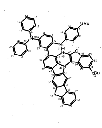 CC(C)(C)c1ccc(Nc2ccc(N(c3ccccc3)c3ccccc3)cc2-c2ccc3c4cc5sc6ccccc6c5cc4n4c3c2Bc2oc3ccc(C(C)(C)C)cc3c2-4)cc1